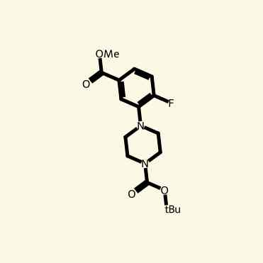 COC(=O)c1ccc(F)c(N2CCN(C(=O)OC(C)(C)C)CC2)c1